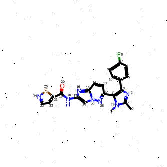 Cc1nc(-c2ccc(F)cc2)c(-c2ccc3nc(NC(=O)c4ccns4)cn3n2)n1C